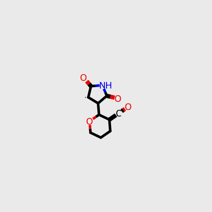 O=C=C1CCCOC1C1[CH]C(=O)NC1=O